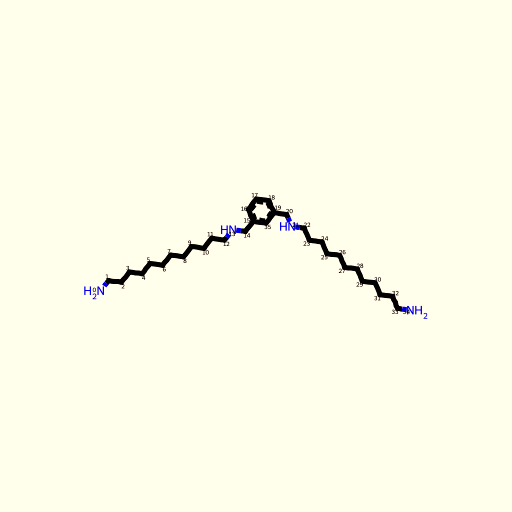 NCCCCCCCCCCCCNCc1cccc(CNCCCCCCCCCCCCN)c1